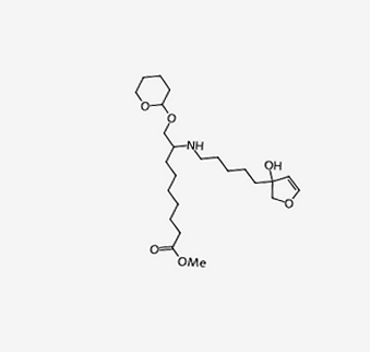 COC(=O)CCCCCCC(COC1CCCCO1)NCCCCCC1(O)C=COC1